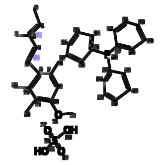 C/C=C(C)/C=C/c1c(C)cc(OC)c(C)c1C.O=S(=O)(O)O.c1ccc(P(c2ccccc2)c2ccccc2)cc1